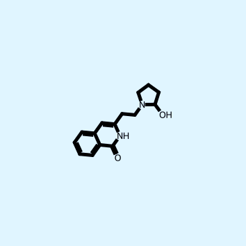 O=c1[nH]c(CCN2CCCC2O)cc2ccccc12